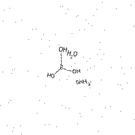 O.OB(O)O.[SnH2]